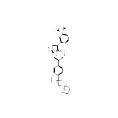 CS(=O)(=O)c1cccc(-c2cnn3cc(-c4ccc(C(F)(F)CN5CCCC5)cc4)cnc23)c1